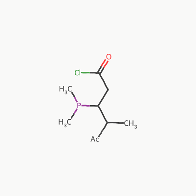 CC(=O)C(C)C(CC(=O)Cl)P(C)C